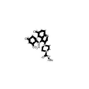 CC(C)(C)OC(=O)N1CCN(c2cnc3ccc(Cl)cc3c2Nc2ccc(Cl)cc2C(=O)O)CC1